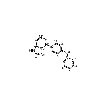 C1=NCN(c2ccc(Oc3ccccc3)cc2)c2cc[nH]c21